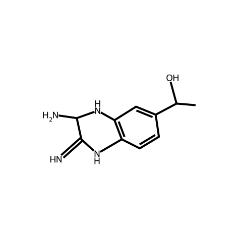 CC(O)c1ccc2c(c1)NC(N)C(=N)N2